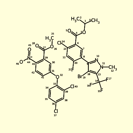 CC(C)OC(=O)c1cc(-c2nn(C)c(C(F)(F)F)c2Br)c(F)cc1Cl.COC(=O)c1cc(Oc2ccc(Cl)cc2Cl)ccc1[N+](=O)[O-]